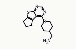 NCC1CCN(c2ncnc3sc4c(c23)CCC4)CC1